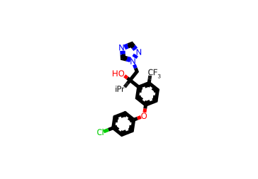 CC(C)C(O)(Cn1cncn1)c1cc(Oc2ccc(Cl)cc2)ccc1C(F)(F)F